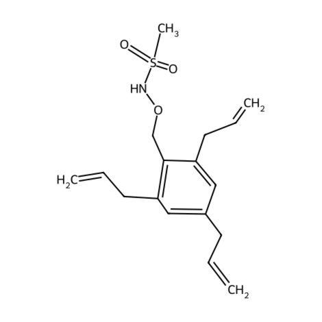 C=CCc1cc(CC=C)c(CONS(C)(=O)=O)c(CC=C)c1